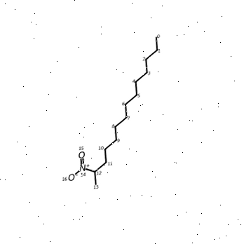 CCCCCCCCCCCCC(C)[N+](=O)[O-]